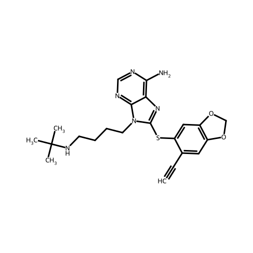 C#Cc1cc2c(cc1Sc1nc3c(N)ncnc3n1CCCCNC(C)(C)C)OCO2